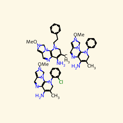 CON1C=C2C=NC3=C(N(CCc4ccccc4)CC(C)=C3N)N2C1.CON1C=C2C=NC3=C(N2C1)N(c1ccccc1)CC(C)=C3N.CON1C=C2C=NC3=C(N2C1)N(c1ccccc1Cl)CC(C)=C3N